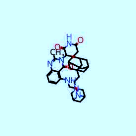 Cc1nc2cccc(NCCN3C4CC3CN(CCC35CC6CC(CC(C6)C3)C5)C4)c2c(=O)n1C1CCC(=O)NC1=O